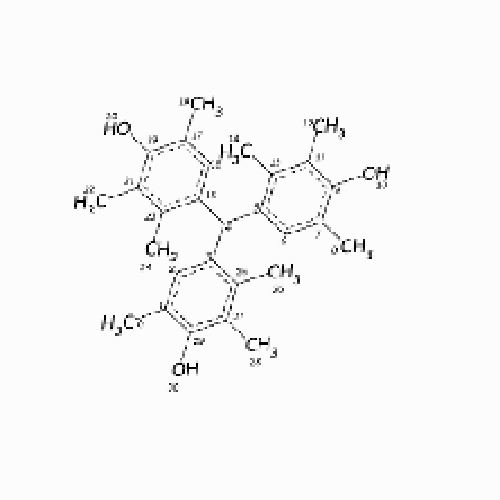 Cc1cc(C(c2cc(C)c(O)c(C)c2C)c2cc(C)c(O)c(C)c2C)c(C)c(C)c1O